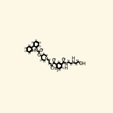 CN(CCN1CCC(OC(=O)Nc2ccccc2-c2ccccc2)CC1)C(=O)c1cccc(C(=O)NCCNCCO)c1